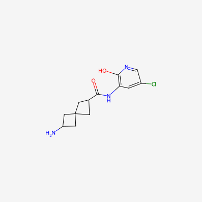 NC1CC2(C1)CC(C(=O)Nc1cc(Cl)cnc1O)C2